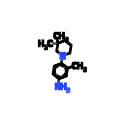 Cc1cc(N)ccc1N1CCCC(C)(C)C1